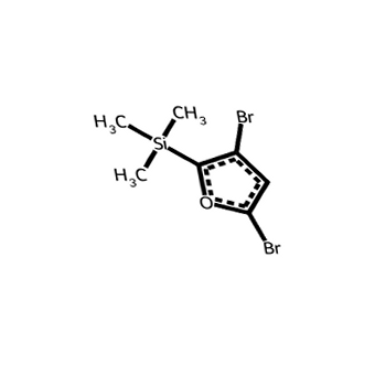 C[Si](C)(C)c1oc(Br)cc1Br